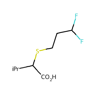 CC(C)C(SCCC(F)F)C(=O)O